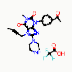 CC#CCn1c(N2CCNCC2)nc2c1c(=O)n(C)c(=O)n2-c1ccc(C(C)=O)cc1.O=C(O)C(F)(F)F